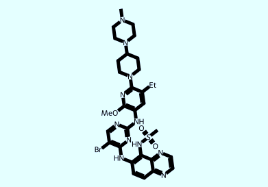 CCc1cc(Nc2ncc(Br)c(Nc3ccc4nccnc4c3NS(C)(=O)=O)n2)c(OC)nc1N1CCC(N2CCN(C)CC2)CC1